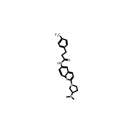 CN(C)C1CCN(c2ccc3cc(NC(=O)CCc4ccc(C(F)(F)F)cc4)ccc3n2)C1